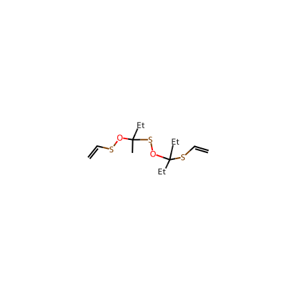 C=CSOC(C)(CC)SOC(CC)(CC)SC=C